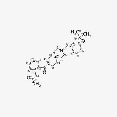 CC1(C)Cc2c(CN3CCC4(CC3)CCN(C(=O)c3ccccc3CC(N)=O)CC4)cccc2O1